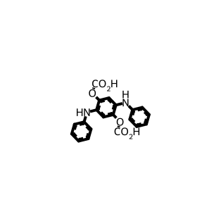 O=C(O)Oc1cc(Nc2ccccc2)c(OC(=O)O)cc1Nc1ccccc1